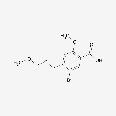 COCOCc1cc(OC)c(C(=O)O)cc1Br